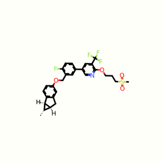 C[C@H]1[C@@H]2Cc3cc(OCc4cc(-c5cnc(OCCCS(C)(=O)=O)c(C(F)(F)F)c5)ccc4F)ccc3[C@H]12